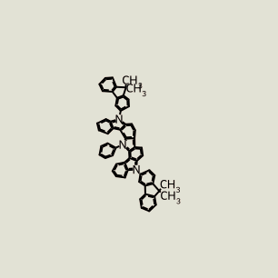 CC1(C)c2ccccc2-c2cc(-n3c4ccccc4c4c3ccc3c5ccc6c(c7ccccc7n6-c6ccc7c(c6)-c6ccccc6C7(C)C)c5n(-c5ccccc5)c34)ccc21